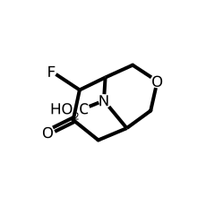 O=C1CC2COCC(C1F)N2C(=O)O